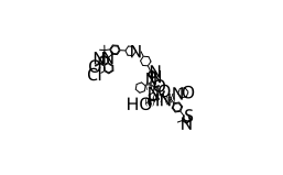 Cc1ncsc1-c1ccc([C@H](CN2CCOCC2)NC(=O)[C@@H]2C[C@@H](O)CN2C(=O)[C@H](C2CCCCC2)n2cc(C3CCC(CN4CCC(c5ccc6c(c5)-n5c(nc(=O)c7c(Cl)cccc75)C6(C)C)CC4)CC3)nn2)cc1